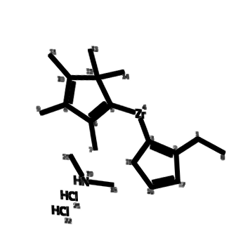 CCC1=[C]([Zr][C]2=C(C)C(C)=C(C)C2(C)C)CC=C1.CNC.Cl.Cl